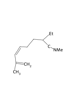 C=C(C)/C=C\CCC(CC)CNC